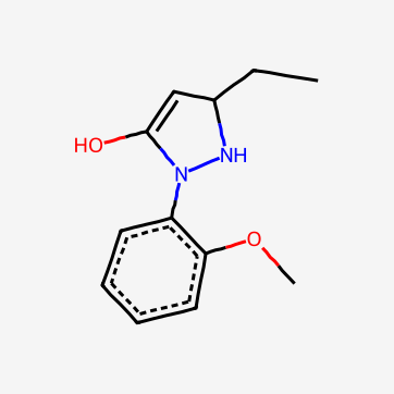 CCC1C=C(O)N(c2ccccc2OC)N1